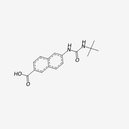 CC(C)(C)NC(=O)Nc1ccc2cc(C(=O)O)ccc2c1